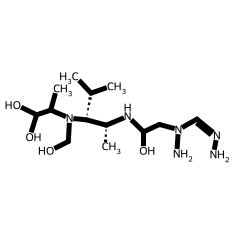 CC(C)[C@H]([C@@H](C)NC(O)CN(N)/C=N\N)N(CO)C(C)C(O)O